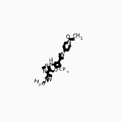 C=CC(=O)N1CCC(N2CC(c3cc4c(c(C(F)(F)F)c3)OCc3c(ncnc3-c3cnn(C)c3)N4)C2)CC1